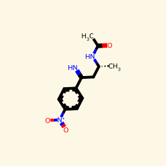 CC(=O)N[C@H](C)CC(=N)c1ccc([N+](=O)[O-])cc1